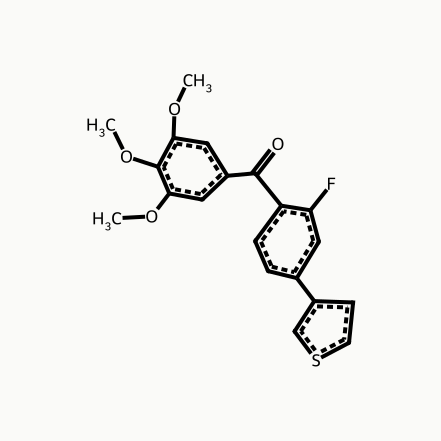 COc1cc(C(=O)c2ccc(-c3ccsc3)cc2F)cc(OC)c1OC